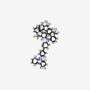 CC1(C)c2ccccc2-c2ccc(N(c3ccc(-c4ccc(-n5c6ccccc6c6ccccc65)cc4)cc3)c3cccc4c3-c3cc5c(cc3C4(C)C)C(C)(C)c3ccccc3-5)cc21